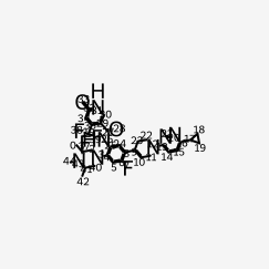 CC1CN(c2cc(F)c(C3=CCN(c4ccc(C5CC5)nn4)CC3)cc2NC(=O)c2c[nH]c(=O)cc2C(F)(F)F)CC(C)N1C